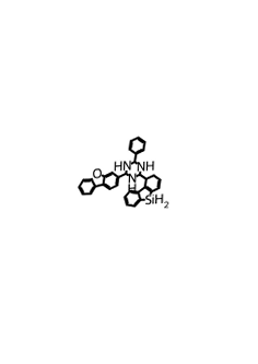 C1=CC2=C(c3ccccc3[SiH2]2)C(C2NC(c3ccccc3)NC(c3ccc4c(c3)oc3ccccc34)N2)C1